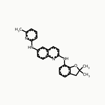 Cc1cccc(Nc2ccc3nc(Nc4cccc5c4OC(C)(C)C5)ccc3c2)n1